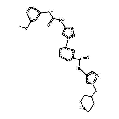 COc1cccc(NC(=O)Nc2cnn(-c3cccc(C(=O)Nc4cnn(CC5CCNCC5)c4)c3)c2)c1